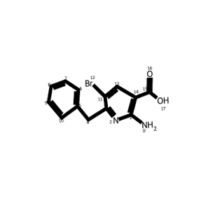 Nc1nc(Cc2ccccc2)c(Br)cc1C(=O)O